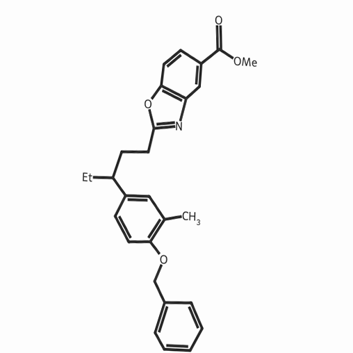 CCC(CCc1nc2cc(C(=O)OC)ccc2o1)c1ccc(OCc2ccccc2)c(C)c1